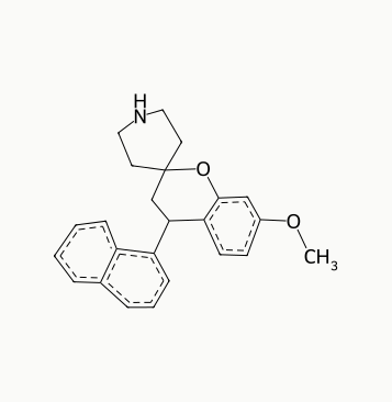 COc1ccc2c(c1)OC1(CCNCC1)CC2c1cccc2ccccc12